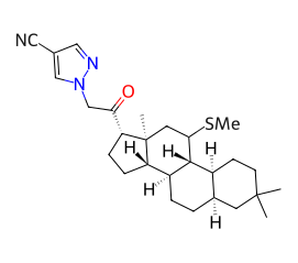 CSC1C[C@]2(C)[C@@H](C(=O)Cn3cc(C#N)cn3)CC[C@H]2[C@@H]2CC[C@@H]3CC(C)(C)CC[C@@H]3[C@@H]12